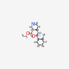 CCOC(=O)c1cnccc1/C=C/c1ccccc1C